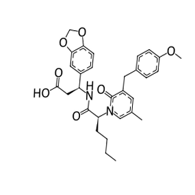 CCCC[C@@H](C(=O)N[C@@H](CC(=O)O)c1ccc2c(c1)OCO2)n1cc(C)cc(Cc2ccc(OC)cc2)c1=O